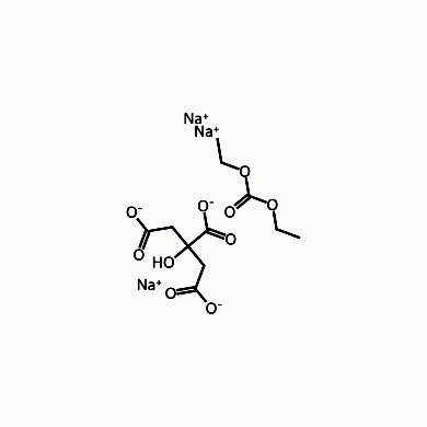 CCOC(=O)OCC.O=C([O-])CC(O)(CC(=O)[O-])C(=O)[O-].[Na+].[Na+].[Na+]